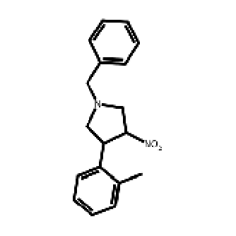 Cc1ccccc1C1CN(Cc2ccccc2)CC1[N+](=O)[O-]